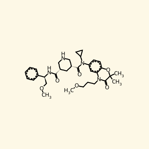 COCCCN1C(=O)C(C)(C)Oc2ccc(N(C(=O)[C@H]3CNC[C@@H](C(=O)N[C@@H](COC)c4ccccc4)C3)C3CC3)cc21